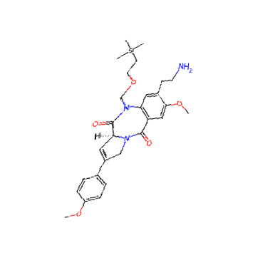 COc1ccc(C2=C[C@H]3C(=O)N(COCC[Si](C)(C)C)c4cc(CCN)c(OC)cc4C(=O)N3C2)cc1